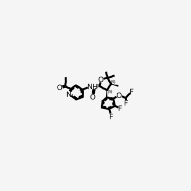 CC(=O)c1cc(NC(=O)[C@@H]2OC(C)(C)[C@@H](C)[C@H]2c2ccc(F)c(F)c2OC(F)F)ccn1